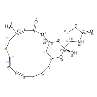 C/C1=C/C(=O)O[C@@H]2CC(CCC/C=C\C=C\CC1)O[C@@](O)([C@@H]1CSC(=O)N1)C2